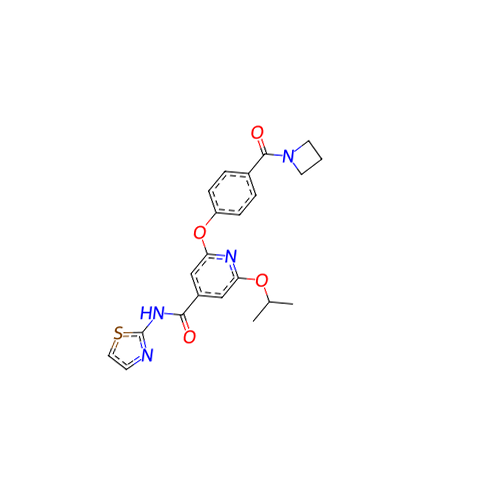 CC(C)Oc1cc(C(=O)Nc2nccs2)cc(Oc2ccc(C(=O)N3CCC3)cc2)n1